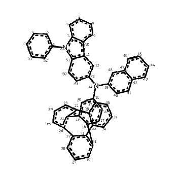 c1ccc(-n2c3ccccc3c3cc(N(c4ccc5c(c4)-c4c6cccc4-c4cccc-5c4-c4ccccc4-6)c4ccc5ccccc5c4)ccc32)cc1